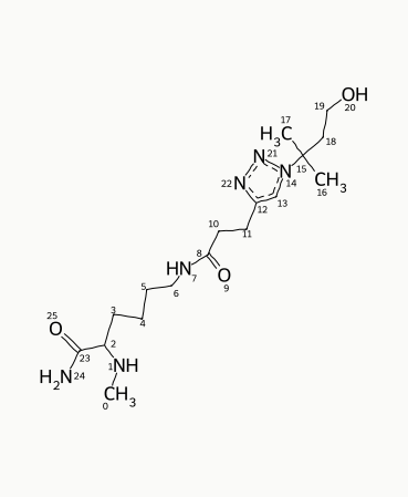 CNC(CCCCNC(=O)CCc1cn(C(C)(C)CCO)nn1)C(N)=O